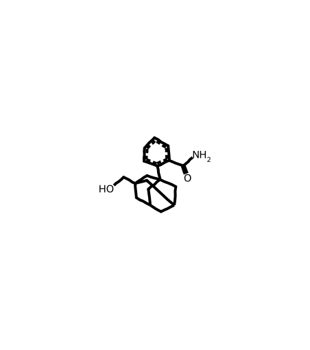 NC(=O)c1ccccc1C12CC3CC(CC(CO)(C3)C1)C2